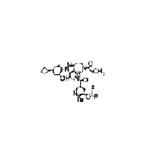 C=CC(=O)N1CCc2nn(-c3ccc(C4CCC4)cc3O)c3c2[C@H](C1)N(C(=O)c1cnc(Br)c(OC(F)F)c1)CC3